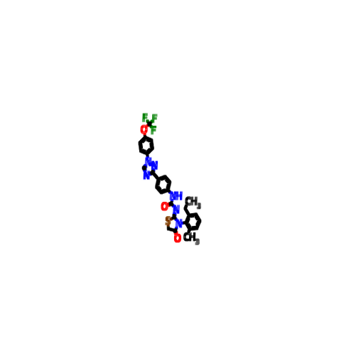 CCc1cccc(C)c1N1C(=O)CS/C1=N\C(=O)Nc1ccc(-c2ncn(-c3ccc(OC(F)(F)F)cc3)n2)cc1